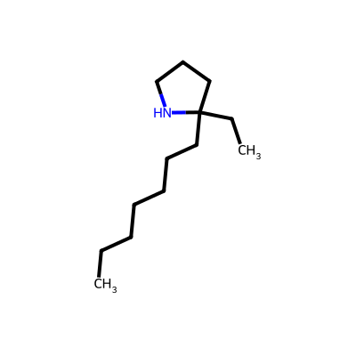 CCCCCCCC1(CC)CCCN1